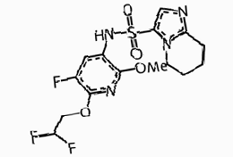 COc1nc(OCC(F)F)c(F)cc1NS(=O)(=O)c1cnc2n1CCCC2